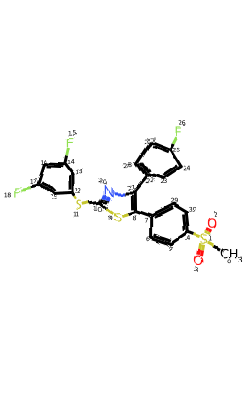 CS(=O)(=O)c1ccc(-c2sc(Sc3cc(F)cc(F)c3)nc2-c2ccc(F)cc2)cc1